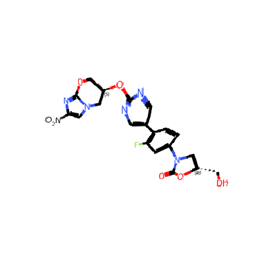 O=C1O[C@@H](CO)CN1c1ccc(-c2cnc(O[C@@H]3COc4nc([N+](=O)[O-])cn4C3)nc2)c(F)c1